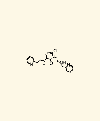 O=c1c(NCCc2ccccn2)ncc(Cl)n1CCNCc1ccccn1